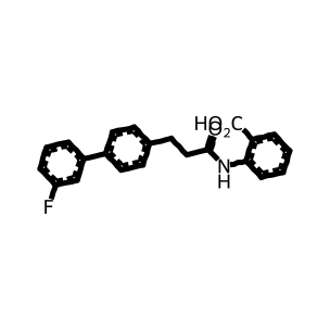 O=C(CCc1ccc(-c2cccc(F)c2)cc1)Nc1ccccc1C(=O)O